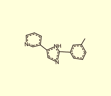 Cc1cccc(-c2ncc(-c3cccnc3)[nH]2)c1